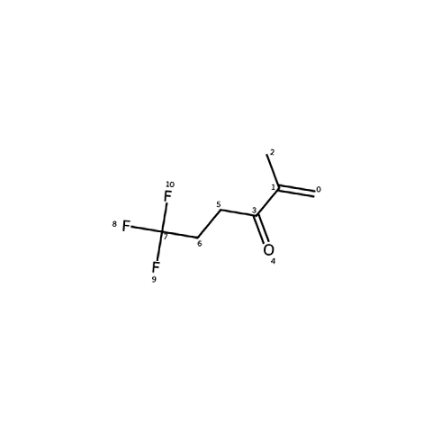 C=C(C)C(=O)CCC(F)(F)F